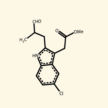 COC(=O)Cc1c(CC(C)C=O)[nH]c2ccc(Cl)cc12